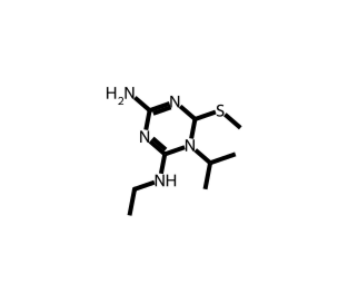 CCNC1=NC(N)=NC(SC)N1C(C)C